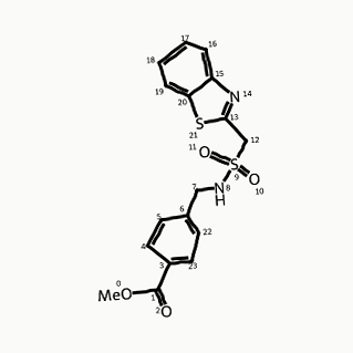 COC(=O)c1ccc(CNS(=O)(=O)Cc2nc3ccccc3s2)cc1